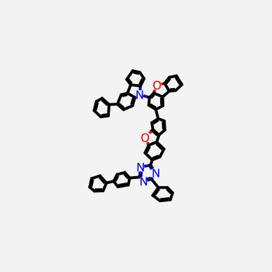 c1ccc(-c2ccc(-c3nc(-c4ccccc4)nc(-c4ccc5c(c4)oc4cc(-c6cc(-n7c8ccccc8c8cc(-c9ccccc9)ccc87)c7oc8ccccc8c7c6)ccc45)n3)cc2)cc1